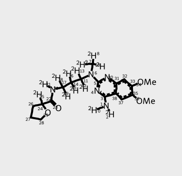 [2H]N([2H])c1nc(N(C([2H])([2H])[2H])C([2H])([2H])C([2H])([2H])C([2H])([2H])N([2H])C(=O)C2([2H])CCCO2)nc2cc(OC)c(OC)cc12